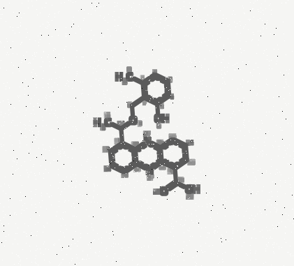 Cc1cccc(O)c1COC(C)c1cccc2nc3c(C(=O)O)cccc3nc12